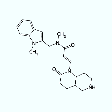 CN(Cc1cc2ccccc2n1C)C(=O)/C=C/N1C(=O)CCC2[CH]NCCC21